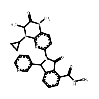 CNC(=O)c1cccc2c1C(=O)N(c1ccc3c(n1)N(C1CC1)C(C)C(=O)N3C)C2c1cccnc1